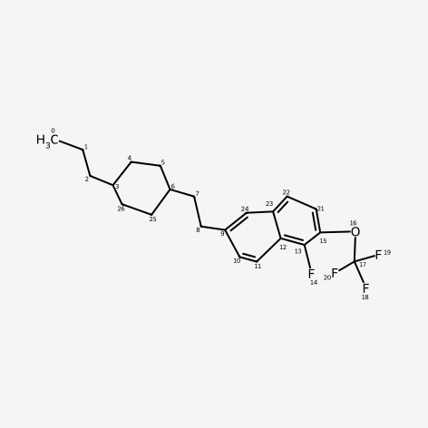 CCCC1CCC(CCc2ccc3c(F)c(OC(F)(F)F)ccc3c2)CC1